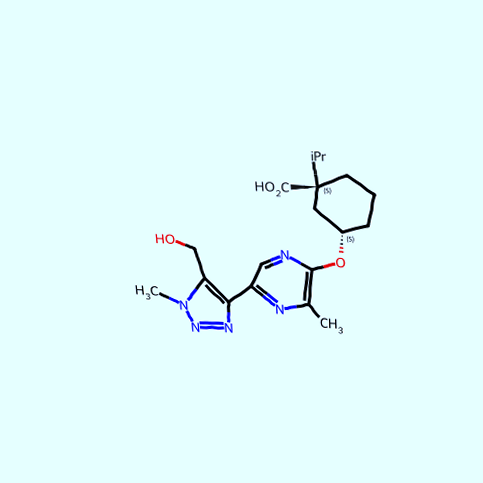 Cc1nc(-c2nnn(C)c2CO)cnc1O[C@H]1CCC[C@@](C(=O)O)(C(C)C)C1